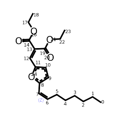 CCCCCC/C=C\c1ccc(C=C(C(=O)OCC)C(=O)OCC)o1